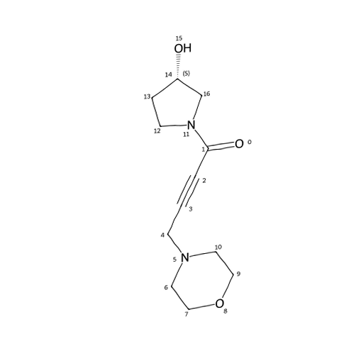 O=C(C#CCN1CCOCC1)N1CC[C@H](O)C1